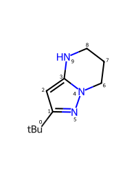 CC(C)(C)c1cc2n(n1)CCCN2